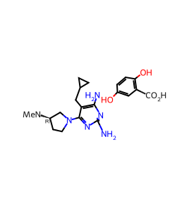 CN[C@@H]1CCN(c2nc(N)nc(N)c2CC2CC2)C1.O=C(O)c1cc(O)ccc1O